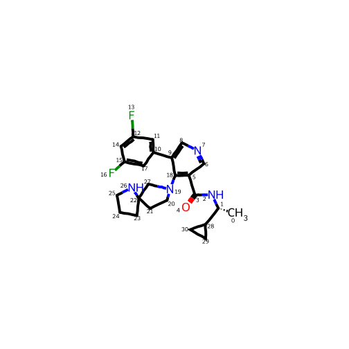 C[C@@H](NC(=O)c1cncc(-c2cc(F)cc(F)c2)c1N1CCC2(CCCN2)C1)C1CC1